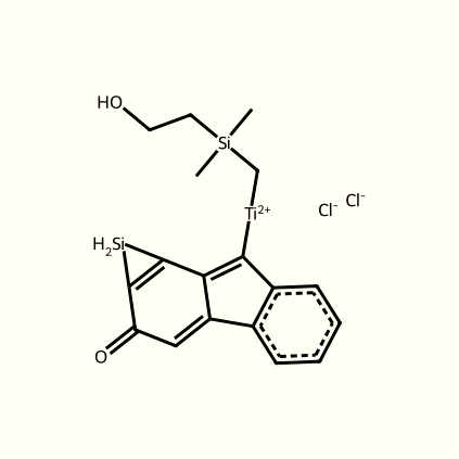 C[Si](C)(CCO)[CH2][Ti+2][C]1=C2C(=CC(=O)C3=C2[SiH2]3)c2ccccc21.[Cl-].[Cl-]